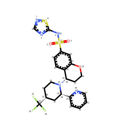 O=S(=O)(Nc1ncns1)c1ccc2c(c1)OCC[C@@H]2N1CC[C@@H](C(F)(F)F)C[C@H]1c1ccccn1